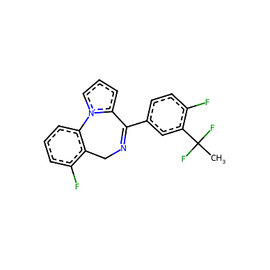 CC(F)(F)c1cc(C2=NCc3c(F)cccc3-n3cccc32)ccc1F